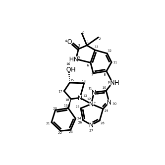 CC1(C)C(=O)Nc2cc(NC3=N[N+]4(N5C[C@@H](O)C[C@@H]5c5ccccc5)C=CN=CC4=N3)ccc21